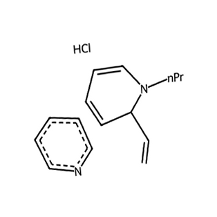 C=CC1C=CC=CN1CCC.Cl.c1ccncc1